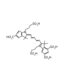 CC1(C)C(/C=C/C=C/C=C2/N(CCCS(=O)(=O)O)c3ccc(C(=O)O)cc3C2(C)C)=[N+](CCCS(=O)(=O)O)c2cc(S(=O)(=O)O)cc(S(=O)(=O)O)c21